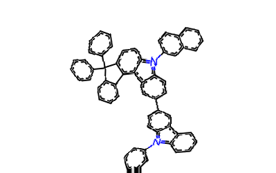 c1ccc(-n2c3ccccc3c3cc(-c4ccc5c(c4)c4c6c(ccc4n5-c4ccc5ccccc5c4)C(c4ccccc4)(c4ccccc4)c4ccccc4-6)ccc32)cc1